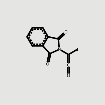 O=C=C(I)N1C(=O)c2ccccc2C1=O